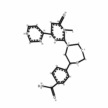 Cn1c(N2CCCOC(c3ccc(C(N)=O)cc3)C2)nc(-c2ccncn2)cc1=O